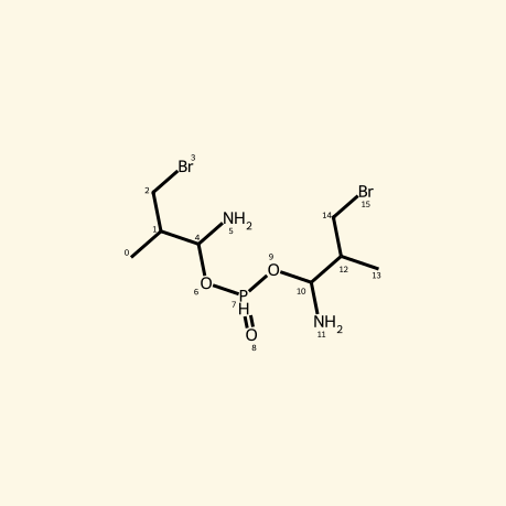 CC(CBr)C(N)O[PH](=O)OC(N)C(C)CBr